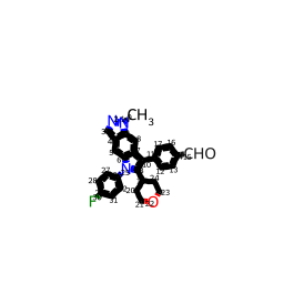 Cn1ncc2cc3c(cc21)c(-c1ccc(C=O)cc1)c(C1CCOCC1)n3-c1ccc(F)cc1